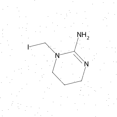 NC1=NCCCN1CI